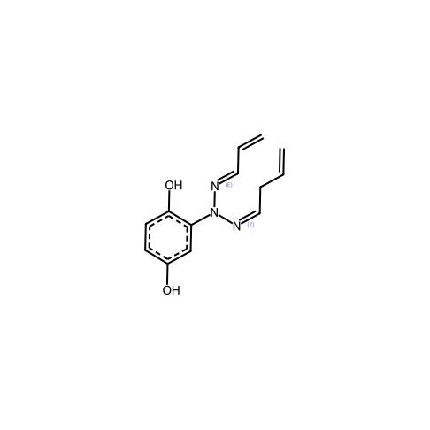 C=C/C=N/N(/N=C\CC=C)c1cc(O)ccc1O